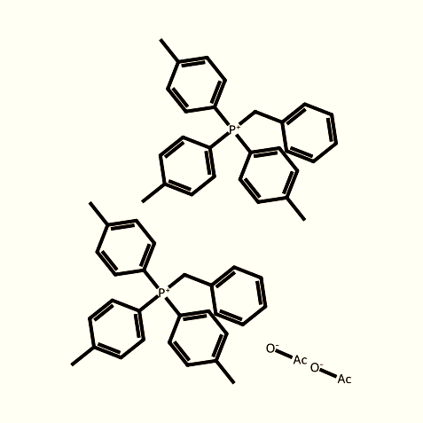 CC(=O)[O-].CC(=O)[O-].Cc1ccc([P+](Cc2ccccc2)(c2ccc(C)cc2)c2ccc(C)cc2)cc1.Cc1ccc([P+](Cc2ccccc2)(c2ccc(C)cc2)c2ccc(C)cc2)cc1